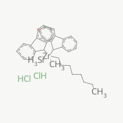 CCCCCCC[CH2][Zr]([CH3])([SiH3])([CH]1c2ccccc2-c2ccccc21)[CH]1c2ccccc2-c2ccccc21.Cl.Cl